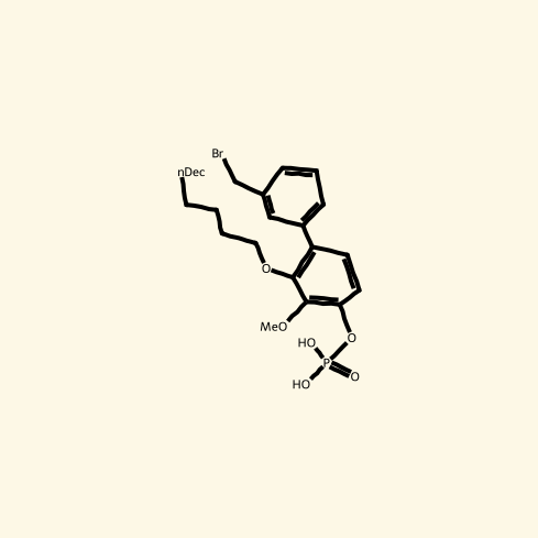 CCCCCCCCCCCCCCOc1c(-c2cccc(CBr)c2)ccc(OP(=O)(O)O)c1OC